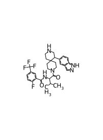 CC(C)[C@@H](NC(=O)c1cc(C(F)(F)F)ccc1F)C(=O)N1CCC2(CCNCC2c2ccc3[nH]ncc3c2)CC1